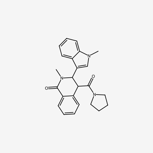 CN1C(=O)c2ccccc2C(C(=O)N2CCCC2)C1c1cn(C)c2ccccc12